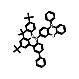 CC(C)(C)c1ccc2c(c1)C(C)(C)c1cc(C(C)(C)C)cc3c1N2B(c1ccc2c(c1)Oc1ccccc1N2c1ccccc1)c1ccc(-c2ccccc2)cc1-3